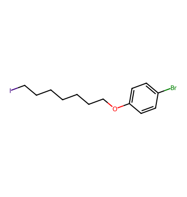 Brc1ccc(OCCCCCCCI)cc1